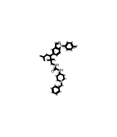 CC(C)CC(c1ccc2c(cnn2-c2ccc(F)cc2)c1)C(C)(C)CNC(=O)NC1CCN(Cc2ccccc2)CC1